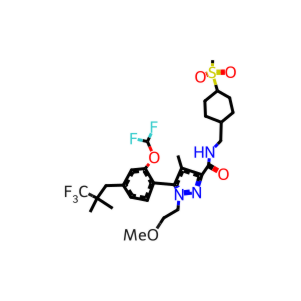 COCCn1nc(C(=O)NCC2CCC(S(C)(=O)=O)CC2)c(C)c1-c1ccc(CC(C)(C)C(F)(F)F)cc1OC(F)F